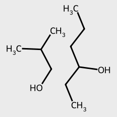 CC(C)CO.CCCC(O)CC